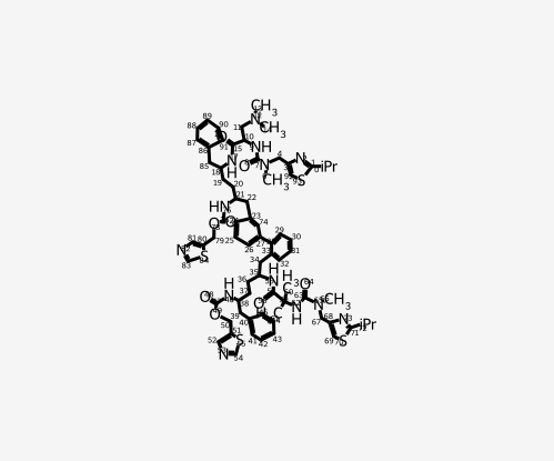 CC(C)c1nc(CN(C)C(=O)NC(CN(C)C)C(=O)NC(CCC(Cc2cccc(-c3ccccc3CC(CCC(Cc3ccccc3)NC(=O)OCc3cncs3)NC(=O)C(C)(C)NC(=O)N(C)Cc3csc(C(C)C)n3)c2)NC(=O)OCc2cncs2)Cc2ccccc2)cs1